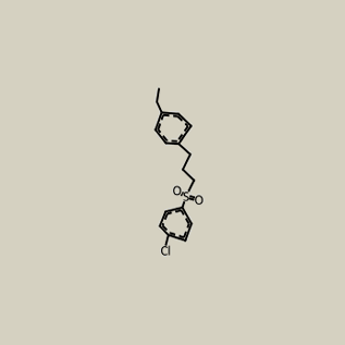 CCc1ccc(CCCS(=O)(=O)c2ccc(Cl)cc2)cc1